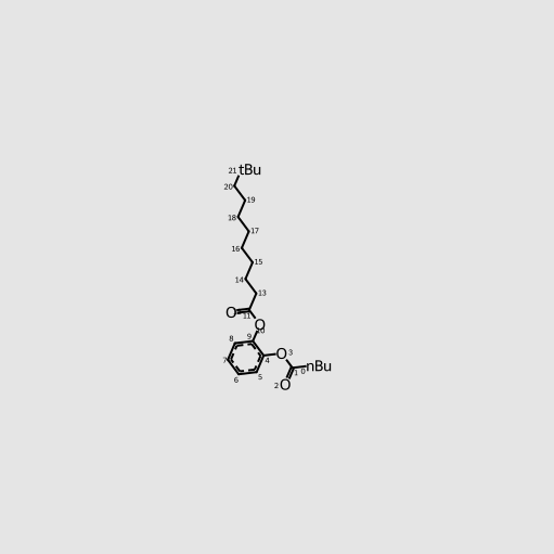 CCCCC(=O)Oc1ccccc1OC(=O)CCCCCCCCC(C)(C)C